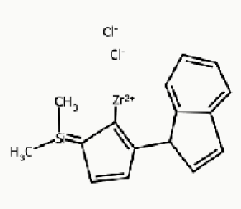 C[Si](C)=C1C=CC(C2C=Cc3ccccc32)=[C]1[Zr+2].[Cl-].[Cl-]